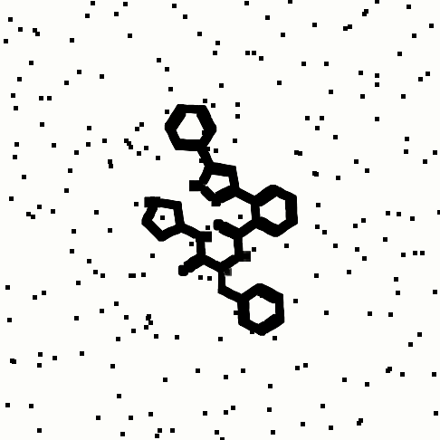 O=C(N[C@@H](Cc1ccccc1)C(=O)NC1CCNC1)c1ccccc1-c1cc(-c2ccccc2)[nH]n1